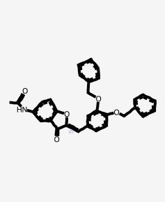 CC(=O)Nc1ccc2c(c1)C(=O)/C(=C/c1ccc(OCc3ccccc3)c(OCc3ccccc3)c1)O2